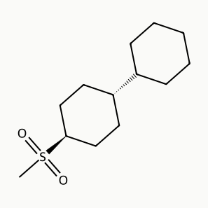 CS(=O)(=O)[C@H]1CC[C@H](C2CCCCC2)CC1